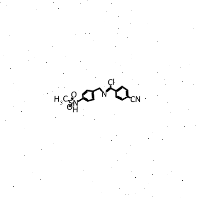 CS(=O)(=O)Nc1ccc(C/N=C(\Cl)c2ccc(C#N)cc2)cc1